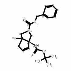 CC(C)(C)OC(=O)N[C@@]12C=CC[C@@H]1CN(C(=O)OCc1ccccc1)C2